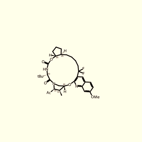 COc1ccc2cc3c(nc2c1)O[C@H]1CN(C(=O)[C@H](C(C)(C)C)NC(=O)O[C@@H]2CCC[C@H]2CCCCC3(F)F)[C@H](C(C)=O)[C@@H]1C